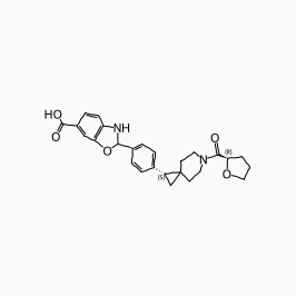 O=C(O)c1ccc2c(c1)OC(c1ccc([C@H]3CC34CCN(C(=O)[C@H]3CCCO3)CC4)cc1)N2